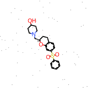 O=S(=O)(c1ccccc1)c1ccc2c(c1)O[C@@H](CN1CCC(O)CC1)CC2